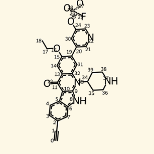 C#Cc1ccc2c(c1)[nH]c1c2c(=O)c2cc(OCC)c(-c3cncc(OS(=O)(=O)F)c3)cc2n1C1CCNCC1